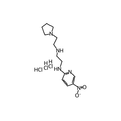 Cl.Cl.Cl.O=[N+]([O-])c1ccc(NCCNCCN2CCCC2)nc1